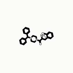 NC(Cc1ccccc1Cl)C(=O)N1CCN(C(c2ccccc2)c2ccccc2)CC1